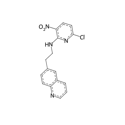 O=[N+]([O-])c1ccc(Cl)nc1NCCc1ccc2ncccc2c1